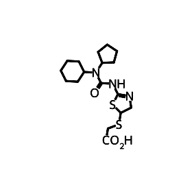 O=C(O)CSC1CN=C(NC(=O)N(C2CCCCC2)C2CCCC2)S1